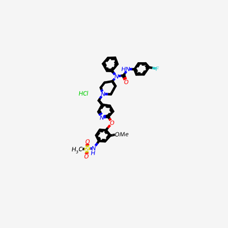 COc1cc(NS(C)(=O)=O)ccc1Oc1ccc(CN2CCC(N(C(=O)Nc3ccc(F)cc3)c3ccccc3)CC2)cn1.Cl